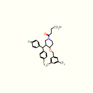 O=C(O)CCC(=O)N1CCC(OCc2cc(C(F)(F)F)cc(C(F)(F)F)c2)C(C(c2ccc(F)cc2)c2ccc(F)cc2)C1